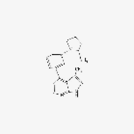 NC1CCC[C@H]1c1cccc(-c2ccnc3[nH]nc(C(F)(F)F)c23)c1